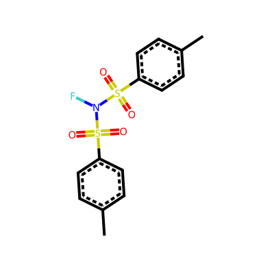 Cc1ccc(S(=O)(=O)N(F)S(=O)(=O)c2ccc(C)cc2)cc1